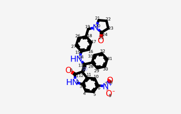 O=C1Nc2ccc([N+](=O)[O-])cc2/C1=C(/Nc1ccc(CN2CCCC2=O)cc1)c1ccccc1